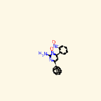 Nc1nc(-c2ccccc2[N+](=O)[O-])cc([C]23[CH]4[CH]5[CH]6[CH]2[Fe]56432789[CH]3[CH]2[CH]7[CH]8[CH]39)n1